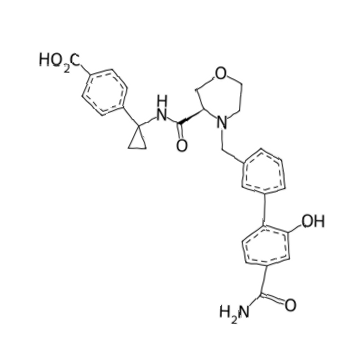 NC(=O)c1ccc(-c2cccc(CN3CCOC[C@@H]3C(=O)NC3(c4ccc(C(=O)O)cc4)CC3)c2)c(O)c1